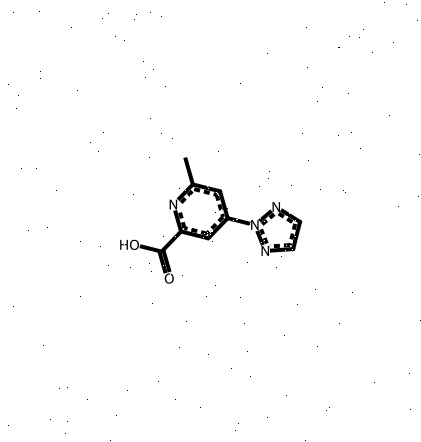 Cc1cc(-n2nccn2)cc(C(=O)O)n1